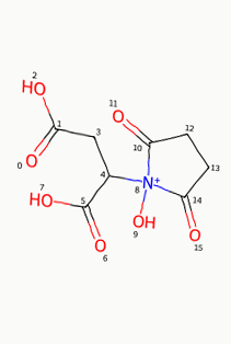 O=C(O)CC(C(=O)O)[N+]1(O)C(=O)CCC1=O